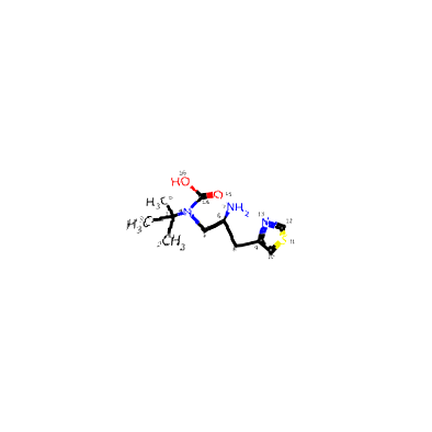 CC(C)(C)N(C[C@@H](N)Cc1cscn1)C(=O)O